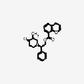 CC1CN(C(COC(=O)c2cccc3c2OC=CC3)c2ccccc2)CCC1=O